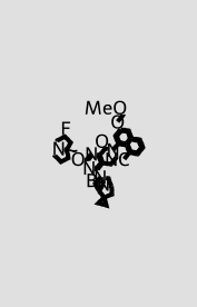 COCOc1cc(N2CCc3c(nc(OC[C@@]45CCCN4C[C@H](F)C5)nc3N3CC4CC5(CC5)C(C3)N4Br)C2=O)c2c(C#N)cccc2c1